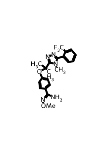 CO/N=C(\N)c1ccc(OC(C)(C)c2nnc(-c3ccccc3C(F)(F)F)n2C)cc1